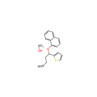 CNCCC(Oc1cccc2ccccc12)c1cccs1.O=[N+]([O-])O